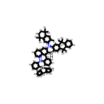 Cc1cc2c(cc1N1c3cc4c(cc3Bc3c1cc1ccccc1c3-c1cccc3c1Nc1ccccc1[Si]31c3ccccc3-c3ccccc31)C(C)(C)c1ccccc1C4(C)C)C(C)(C)CCC2(C)C